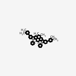 Cc1ccc(C2=Cc3c(n(-c4ccccc4)c4c5c6c(cc34)C(C)C(C)c3cc4c7cc(-c8ccc(C)c(C)c8)ccc7n(-c7ccccc7)c4c(c3-6)C(C)C5C)CC2)cc1C